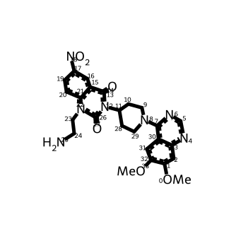 COc1cc2ncnc(N3CCC(n4c(=O)c5cc([N+](=O)[O-])ccc5n(CCN)c4=O)CC3)c2cc1OC